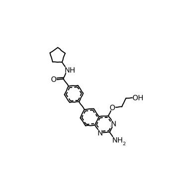 Nc1nc(OCCO)c2cc(-c3ccc(C(=O)NC4CCCC4)cc3)ccc2n1